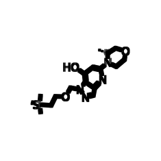 C[C@@H]1COCCN1c1cc(O)c2c(cnn2COCC[Si](C)(C)C)n1